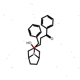 O=C(CCCN1C2CCC1CC(O)(Cc1ccccc1)C2)c1ccccc1